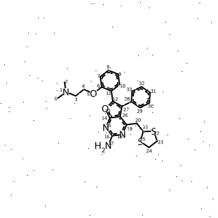 CN(C)CCOc1ccccc1-c1oc2nc(N)nc(CC3SCCS3)c2c1-c1ccccc1